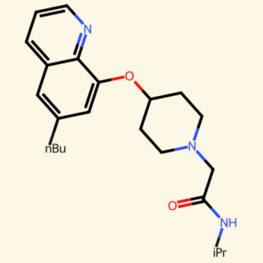 CCCCc1cc(OC2CCN(CC(=O)NC(C)C)CC2)c2ncccc2c1